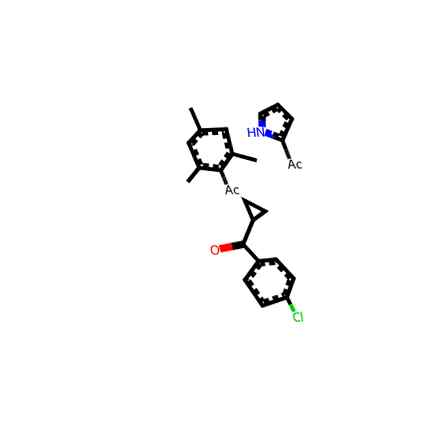 CC(=O)c1c(C)cc(C)cc1C.CC(=O)c1ccc[nH]1.O=C(c1ccc(Cl)cc1)C1CC1